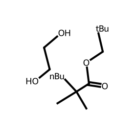 CCCCC(C)(C)C(=O)OCC(C)(C)C.OCCO